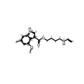 C=CNCCCCOC(=O)c1c[nH]c2cc(C)cc(OC)c12